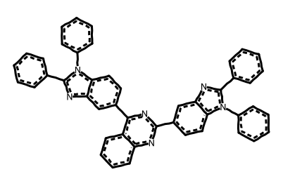 c1ccc(-c2nc3cc(-c4nc(-c5ccc6c(c5)nc(-c5ccccc5)n6-c5ccccc5)c5ccccc5n4)ccc3n2-c2ccccc2)cc1